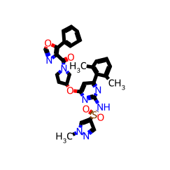 Cc1cccc(C)c1-c1cc(OC2CCN(C(=O)c3ncoc3-c3ccccc3)C2)nc(NS(=O)(=O)c2cnn(C)c2)n1